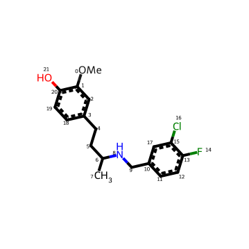 COc1cc(CCC(C)NCc2ccc(F)c(Cl)c2)ccc1O